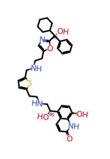 O=c1ccc2c([C@@H](O)CNCCc3ccc(CNCCc4cnc([C@](O)(c5ccccc5)C5CCCCC5)o4)s3)ccc(O)c2[nH]1